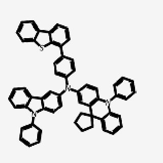 c1ccc(N2c3ccccc3C3(CCCC3)c3cc(N(c4ccc(-c5cccc6c5sc5ccccc56)cc4)c4ccc5c(c4)c4ccccc4n5-c4ccccc4)ccc32)cc1